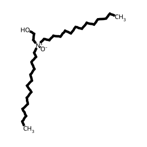 CCCCCCCCCCCCCC[N+]([O-])(CCO)CCCCCCCCCCCCCC